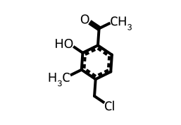 CC(=O)c1ccc(CCl)c(C)c1O